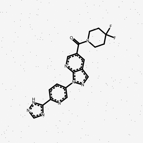 O=C(c1cnc2c(cnn2-c2ccc(-c3ncn[nH]3)nc2)c1)N1CCC(F)(F)CC1